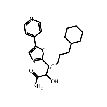 NC(=O)C(O)[C@@H](CCCC1CCCCC1)c1ncc(-c2ccncc2)o1